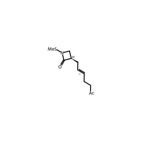 CSN1C[C@@H](C/C=C/CCC(C)=O)C1=O